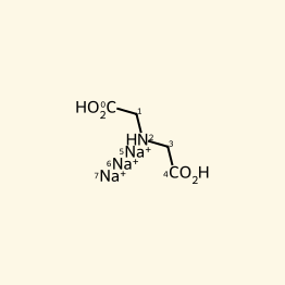 O=C(O)CNCC(=O)O.[Na+].[Na+].[Na+]